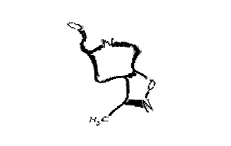 Cc1noc2cnc(C=O)cc12